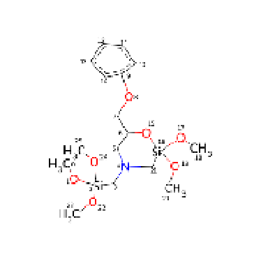 CO[Si](CN1CC(COc2ccccc2)O[Si](OC)(OC)C1)(OC)OC